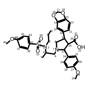 CCCN(C(C)CN1CC(c2ccc3c(c2)OCO3)C(C(=O)O)C1c1ccc(OC)cc1)S(=O)(=O)c1ccc(OC)cc1